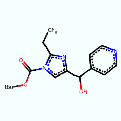 CC(C)(C)OC(=O)n1cc(C(O)c2ccncc2)nc1CC(F)(F)F